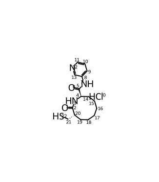 Cl.O=C1N[C@@H](C(=O)Nc2cccnc2)CCCCCC[C@@H]1CS